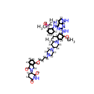 CCc1cc(Nc2nc(Nc3ccccc3P(C)(C)=O)c3cc[nH]c3n2)c(OC)cc1N1CCC(N2CCN(CCCCOc3cccc4c3CN(C3CCC(=O)NC3=O)C4=O)CC2)CC1